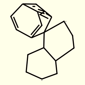 [CH]1CCC2C(C1)CC[CH]C21c2ccc3cc1ccc3c2